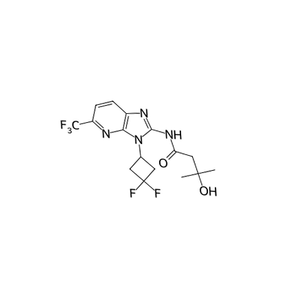 CC(C)(O)CC(=O)Nc1nc2ccc(C(F)(F)F)nc2n1C1CC(F)(F)C1